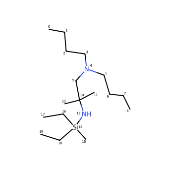 CCCCN(CCCC)CC(C)(C)N[Si](C)(CC)CC